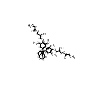 C=CC(=O)OCC(O)COc1c(C)cc(C2(c3cc(C)c(OCC(O)COC(=O)C=C)c(C)c3)C3CC4CC(C3)CC2C4)cc1C